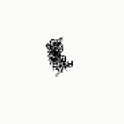 CCCCC(C)(C)BN1C(=O)C2C(C1=O)[C@H]1C[C@@H]2C[C@]12CC[C@]1(C[C@H]3C[C@@H]1C1C(=O)N(C(C)(C)CC)C(=O)C13)C2=O